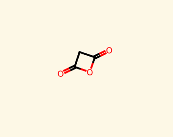 O=C1CC(=O)O1